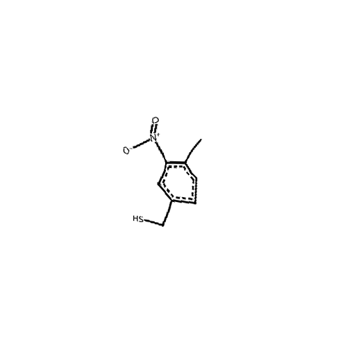 Cc1ccc(CS)cc1[N+](=O)[O-]